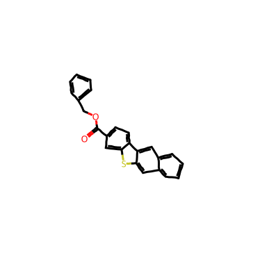 O=C(OCc1ccccc1)c1ccc2c(c1)sc1cc3ccccc3cc12